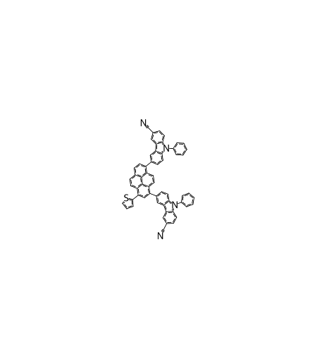 N#Cc1ccc2c(c1)c1cc(-c3ccc4ccc5c(-c6cccs6)cc(-c6ccc7c(c6)c6cc(C#N)ccc6n7-c6ccccc6)c6ccc3c4c65)ccc1n2-c1ccccc1